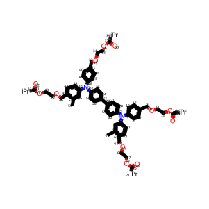 Cc1cc(N(c2ccc(COCCOC(=O)C(C)C)cc2)c2ccc(-c3ccc(N(c4ccc(COCCOC(=O)C(C)C)cc4)c4ccc(COCCOC(=O)C(C)C)c(C)c4)cc3)cc2)ccc1COCCOC(=O)C(C)C